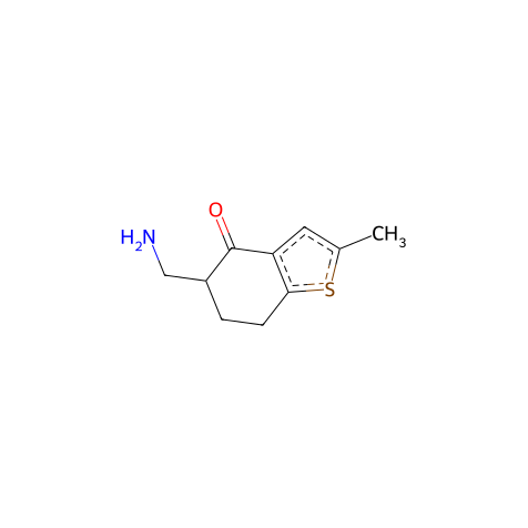 Cc1cc2c(s1)CCC(CN)C2=O